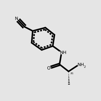 C[C@@H](N)C(=O)Nc1ccc(C#N)cc1